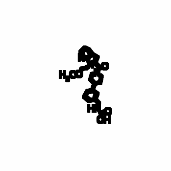 COCCn1c(C(=O)N2CCC(c3cccc(CNC(=O)O)c3)CC2)cc2cccnc21